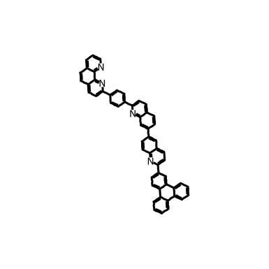 c1cnc2c(c1)ccc1ccc(-c3ccc(-c4ccc5ccc(-c6ccc7nc(-c8ccc9c%10ccccc%10c%10ccccc%10c9c8)ccc7c6)cc5n4)cc3)nc12